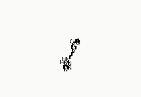 N#CN=C(NCCCCCN1CCN(C(=O)c2ccco2)CC1)Nc1ccncc1